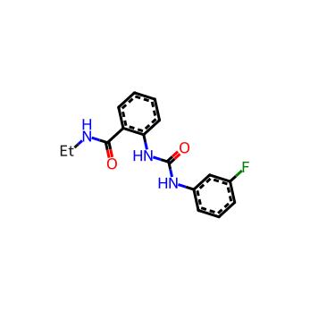 CCNC(=O)c1ccccc1NC(=O)Nc1cccc(F)c1